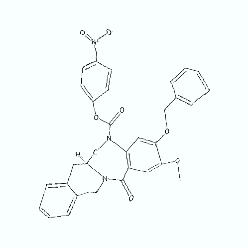 COc1cc2c(cc1OCc1ccccc1)N(C(=O)Oc1ccc([N+](=O)[O-])cc1)C[C@@H]1Cc3ccccc3CN1C2=O